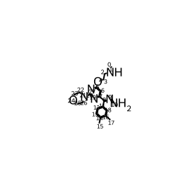 CNCCOc1cc(C(=NN)c2ccc(C)c(C)c2)nc(N2CCOCC2)n1